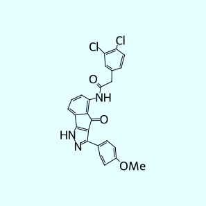 COc1ccc(-c2n[nH]c3c2C(=O)c2c(NC(=O)Cc4ccc(Cl)c(Cl)c4)cccc2-3)cc1